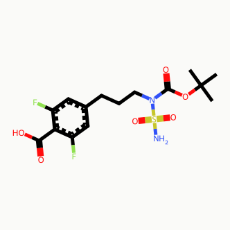 CC(C)(C)OC(=O)N(CCCc1cc(F)c(C(=O)O)c(F)c1)S(N)(=O)=O